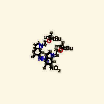 Cc1cc2ccn(CCO[Si](C)(C)C(C)(C)C)c2cc1N.Cc1cc2ccn(CCO[Si](C)(C)C(C)(C)C)c2cc1[N+](=O)[O-]